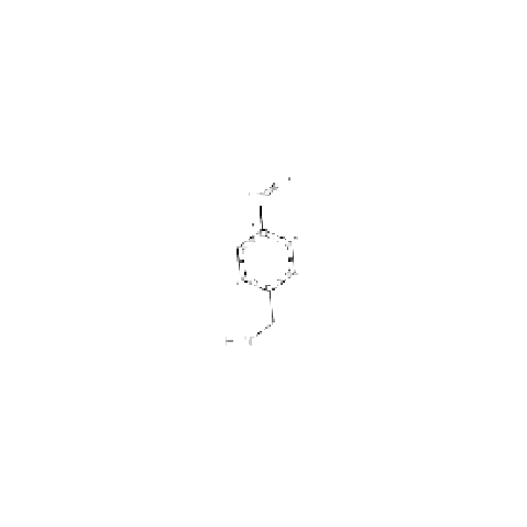 NCc1ccc(P=O)cc1